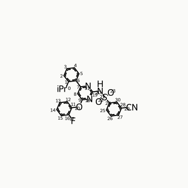 CC(C)c1ccccc1-c1cc(Oc2ccccc2F)nc(NS(=O)(=O)c2cccc(C#N)c2)n1